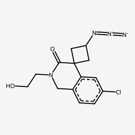 [N-]=[N+]=NC1CC2(C1)C(=O)N(CCO)Cc1ccc(Cl)cc12